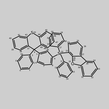 c1ccc(C2(c3cccc([Si](c4ccccc4)(c4ccccc4)c4cccc5c4oc4ccccc45)c3)c3ccccc3Sc3ccccc32)cc1